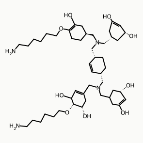 NCCCCCCOC1=C(O)C[C@@H](CN(C[C@H]2C=C[C@@H](CN(CC3=CC(O)[C@@H](OCCCCCCN)[C@@H](O)C3)CC3CC(O)=C[C@@H](O)C3)CC2)C[C@@H]2CC(O)=C[C@H](O)C2)CC1